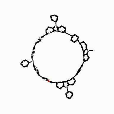 Cn1c2ccc3cc2c2cc(ccc21)-c1ccc(cc1)-c1ccc2c(c1)c1cc(ccc1n2-c1ccccc1)-c1ccc(cc1)-c1ccc(cc1)N(c1ccccc1)c1ccc(cc1)-c1ccc(cc1)-c1ccc2c(c1)c1cc(ccc1n2-c1ccccc1)-c1ccc-3cc1